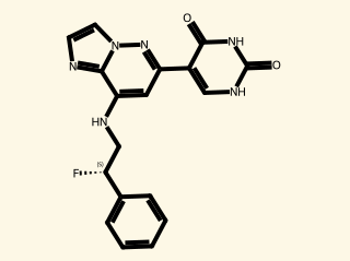 O=c1[nH]cc(-c2cc(NC[C@@H](F)c3ccccc3)c3nccn3n2)c(=O)[nH]1